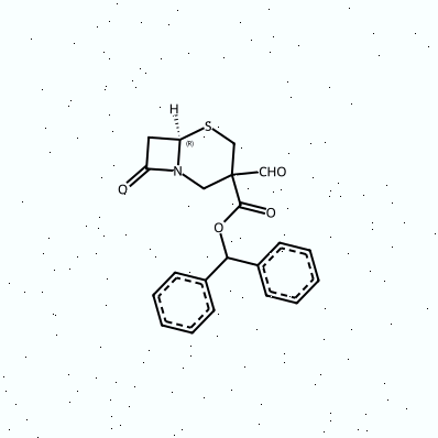 O=CC1(C(=O)OC(c2ccccc2)c2ccccc2)CS[C@@H]2CC(=O)N2C1